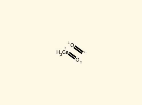 C=O.[O]=[GeH2]